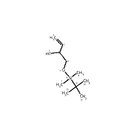 C=CC(O)CO[Si](C)(C)C(C)(C)C